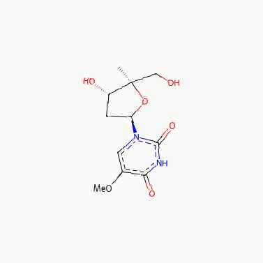 COc1cn([C@H]2C[C@H](O)[C@@](C)(CO)O2)c(=O)[nH]c1=O